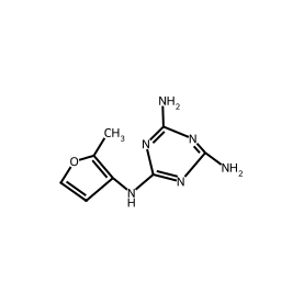 Cc1occc1Nc1nc(N)nc(N)n1